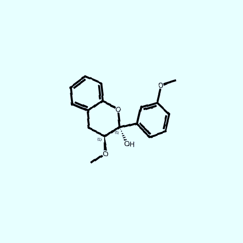 COc1cccc([C@]2(O)Oc3ccccc3C[C@@H]2OC)c1